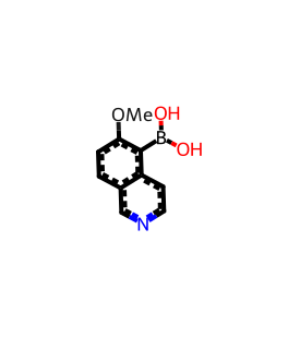 COc1ccc2cnccc2c1B(O)O